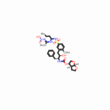 CO/C(=N\[N+](=O)O)NC(CCC(C)(C)C)NS(=O)(=O)c1ccc(OC)c(C[C@@H](O)[C@H](Cc2ccccc2)NC(=O)O[C@H]2CO[C@H]3OCC[C@H]32)c1